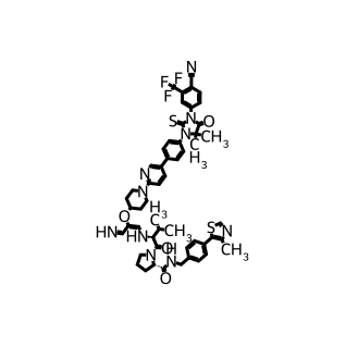 Cc1ncsc1-c1ccc(CNC(=O)[C@@H]2CCCN2C(=O)[C@@H](N/C=C(\C=N)OC2CCN(c3ccc(-c4ccc(N5C(=S)N(c6ccc(C#N)c(C(F)(F)F)c6)C(=O)C5(C)C)cc4)cn3)CC2)C(C)C)cc1